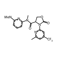 CNc1cccc(N(C)C(=O)C2COC(=O)N2c2cc(C(F)(F)F)cc(C)n2)n1